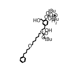 CC(C)(C)OC(=O)N(CCCCCCOCCCCc1ccccc1)CC(O)c1ccc(OC(O[PH2]=O)(OC(C)(C)C)OC(C)(C)C)c(CO)c1